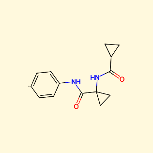 O=C(NC1(C(=O)Nc2cc[c]cc2)CC1)C1CC1